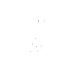 CCCC1CCC(c2ccc(-c3ccc(OCC)c(C(F)F)c3)cc2)CC1